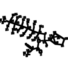 C=C(C(=O)OC(C)(CC(F)(F)C(F)(F)C(F)(F)C(F)(F)C(F)(F)C(F)(F)C(F)(F)F)C1CC2CCC1C2)C(F)(F)F